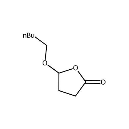 CCCCCOC1CCC(=O)O1